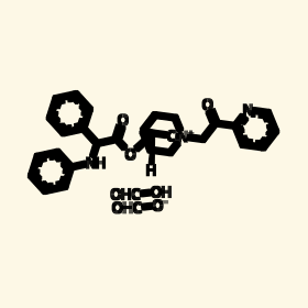 O=C(C[N+]12CCC(CC1)[C@@H](OC(=O)C(Nc1ccccc1)c1ccccc1)C2)c1ccccn1.O=CO.O=C[O-]